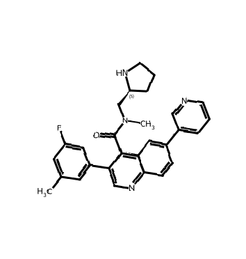 Cc1cc(F)cc(-c2cnc3ccc(-c4cccnc4)cc3c2C(=O)N(C)C[C@@H]2CCCN2)c1